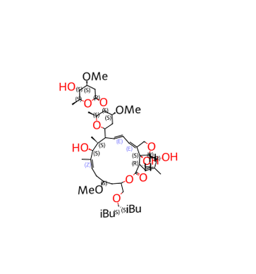 CC[C@H](C)C(OCC1C[C@@H](OC)C/C=C(/C)[C@@H](O)[C@@H](C)C(C2C[C@H](OC)[C@@H](O[C@@H]3C[C@H](OC)[C@@H](O)[C@H](C)O3)[C@H](C)O2)/C=C/C=C2\CO[C@@H]3[C@H](O)C(C)=C[C@@H](C(=O)O1)[C@]23O)[C@@H](C)CC